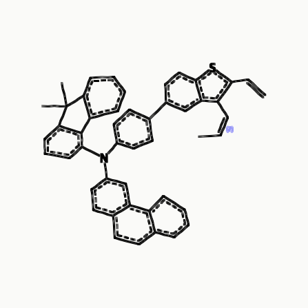 C=Cc1sc2ccc(-c3ccc(N(c4ccc5ccc6ccccc6c5c4)c4cccc5c4-c4ccccc4C5(C)C)cc3)cc2c1/C=C\C